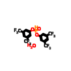 O.O=[PH](Oc1cc(C(F)(F)F)cc(C(F)(F)F)c1)Oc1cc(C(F)(F)F)cc(C(F)(F)F)c1